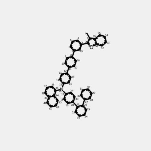 Cc1c(-c2cccc(-c3ccc(-c4ccc(N(c5ccc(-c6ccccc6-c6ccccc6)cc5)c5cccc6ccccc56)cc4)cc3)c2)oc2ccccc12